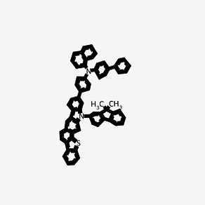 CC1(C)c2ccccc2-c2ccc(-n3c4cc(-c5ccc(N(c6ccc(-c7ccccc7)cc6)c6cccc7ccccc67)cc5)ccc4c4cc5ccc6c7ccccc7sc6c5cc43)cc21